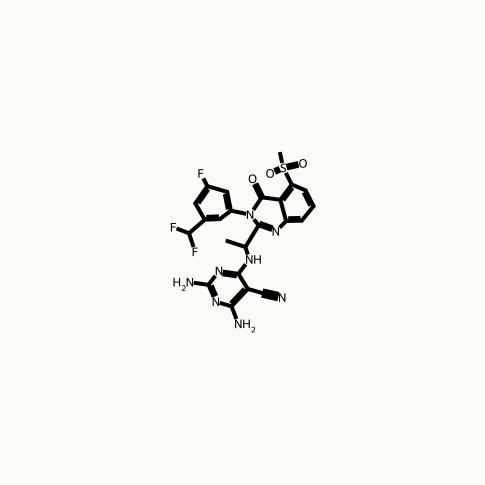 CC(Nc1nc(N)nc(N)c1C#N)c1nc2cccc(S(C)(=O)=O)c2c(=O)n1-c1cc(F)cc(C(F)F)c1